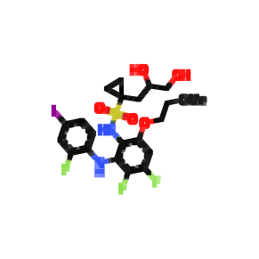 COCCOc1cc(F)c(F)c(Nc2ccc(I)cc2F)c1NS(=O)(=O)C1(CC(O)CO)CC1